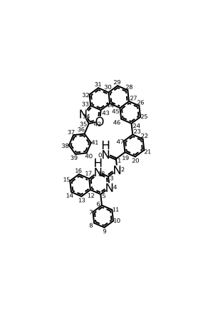 N=C(/N=c1/nc(-c2ccccc2)c2ccccc2[nH]1)c1cccc(-c2ccc3ccc4ccc5nc(-c6ccccc6)oc5c4c3c2)c1